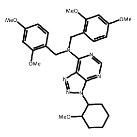 COc1ccc(CN(Cc2ccc(OC)cc2OC)c2ncnc3c2nnn3C2CCCCC2OC)c(OC)c1